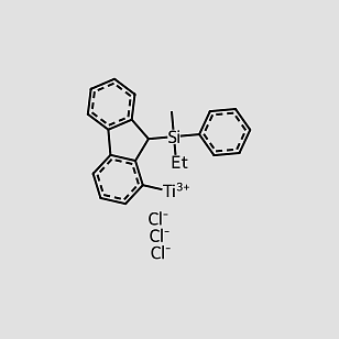 CC[Si](C)(c1ccccc1)C1c2ccccc2-c2ccc[c]([Ti+3])c21.[Cl-].[Cl-].[Cl-]